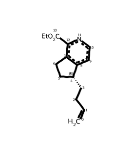 C=CCC[C@@H]1CCc2c1ccnc2C(=O)OCC